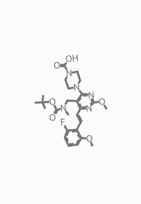 COc1nc(C=Cc2c(F)cccc2OC)c(CN(C)C(=O)OC(C)(C)C)c(N2CCN(C(=O)O)CC2)n1